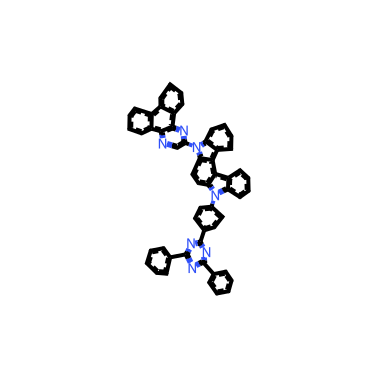 c1ccc(-c2nc(-c3ccccc3)nc(-c3ccc(-n4c5ccccc5c5c6c7ccccc7n(-c7cnc8c9ccccc9c9ccccc9c8n7)c6ccc54)cc3)n2)cc1